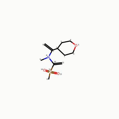 C=C(C1CCOCC1)N(C)C(=C)S(C)(=O)=O